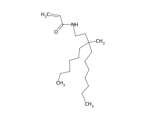 C=CC(=O)NCCC(C)(CCCCCC)CCCCCCC